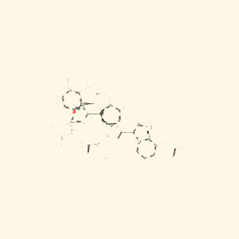 CC(=O)Oc1cccc2c(C(=O)CNC(=O)c3nc4oc3C35c6cc(ccc6O[C@@H]3Nc3c(Br)cccc35)C[C@H](C)C(=O)NC4C(C)C)c[nH]c12